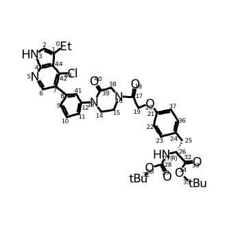 CCc1c[nH]c2ncc(-c3cccc(N4CCN(C(=O)COc5ccc(C[C@@H](NC(=O)OC(C)(C)C)C(=O)OC(C)(C)C)cc5)CC4=O)c3)c(Cl)c12